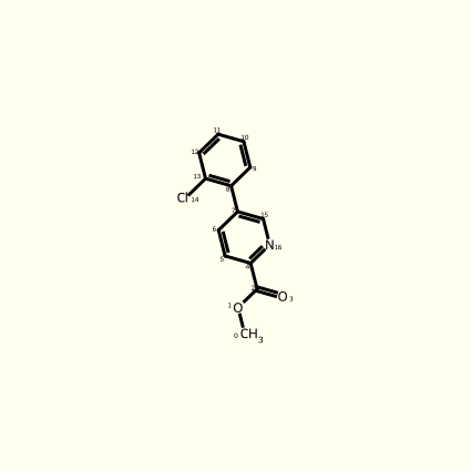 COC(=O)c1ccc(-c2ccc[c]c2Cl)cn1